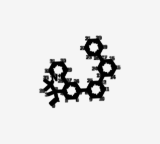 C=CC1(C)c2ccc(-c3cccc(-c4cccc(-c5ccccc5)c4)c3)cc2-c2cccc[n+]2C1(C)C